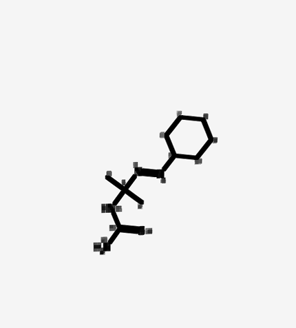 CC(C)(N=NC1CCCCC1)NC(N)=S